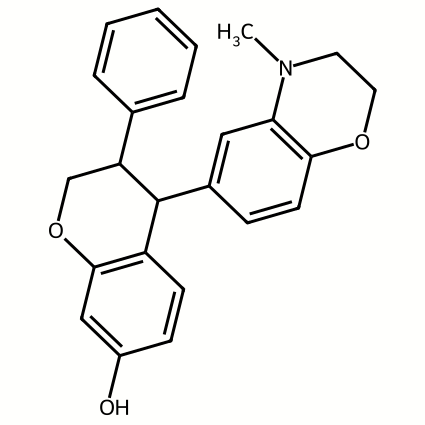 CN1CCOc2ccc(C3c4ccc(O)cc4OCC3c3ccccc3)cc21